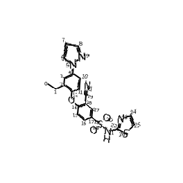 CCc1cc(-n2cccn2)ccc1Oc1ccc(S(=O)(=O)Nc2nccs2)cc1C#N